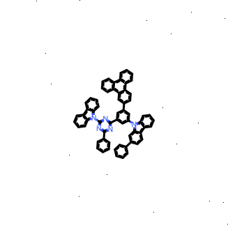 c1ccc(-c2ccc3c4ccccc4n(-c4cc(-c5ccc6c7ccccc7c7ccccc7c6c5)cc(-c5nc(-c6ccccc6)nc(-n6c7ccccc7c7ccccc76)n5)c4)c3c2)cc1